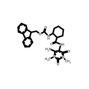 Cn1c(N)c(NC(=O)C2CCCCC2NC(=O)OCC2c3ccccc3-c3ccccc32)c(=O)n(C)c1=O